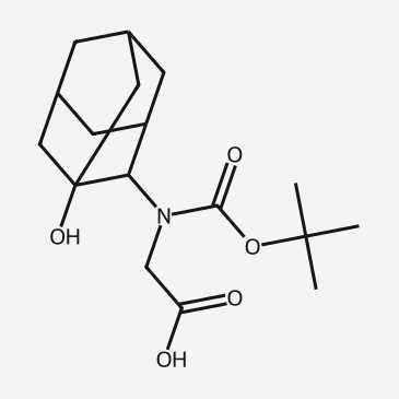 CC(C)(C)OC(=O)N(CC(=O)O)C1C2CC3CC(C2)CC1(O)C3